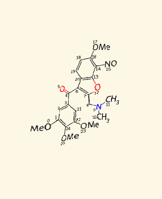 COc1cc(C(=O)c2c(CN(C)C)oc3c(N=O)c(OC)ccc23)cc(OC)c1OC